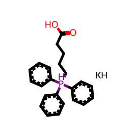 O=C(O)CCCC[PH](c1ccccc1)(c1ccccc1)c1ccccc1.[KH]